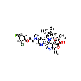 Cc1ncc(-c2ccc(N(C)CCOc3ccc(F)cc3Cl)cn2)c(N2CCC(C)(C)CC2)c1[C@H](OC(C)(C)C)C(=O)O